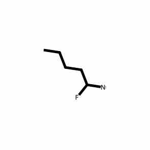 CCCCC([N])F